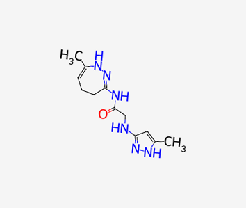 CC1=CCCC(NC(=O)CNc2cc(C)[nH]n2)=NN1